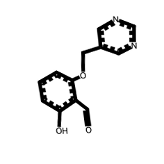 O=Cc1c(O)cccc1OCc1cncnc1